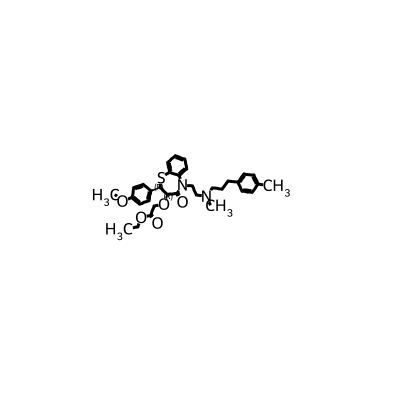 CCOC(=O)CO[C@@H]1C(=O)N(CCN(C)CCCc2ccc(C)cc2)c2ccccc2S[C@@H]1c1ccc(OC)cc1